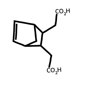 O=C(O)CC1C2C=CC(C2)C1CC(=O)O